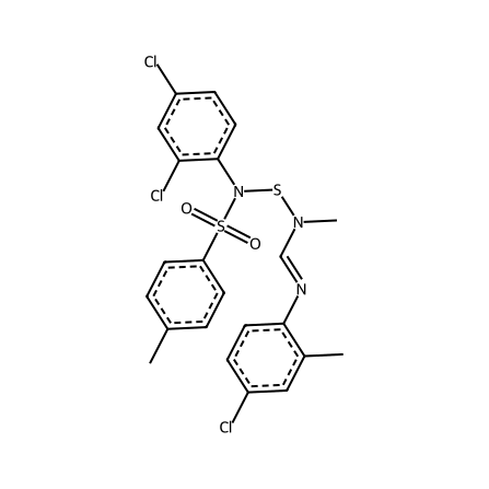 Cc1ccc(S(=O)(=O)N(SN(C)C=Nc2ccc(Cl)cc2C)c2ccc(Cl)cc2Cl)cc1